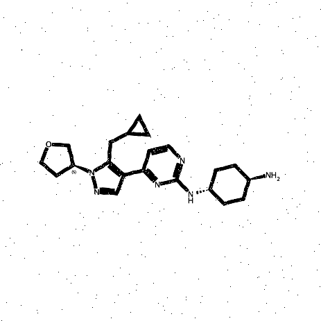 N[C@H]1CC[C@H](Nc2nccc(-c3cnn([C@H]4CCOC4)c3CC3CC3)n2)CC1